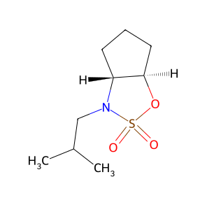 CC(C)CN1[C@@H]2CCC[C@H]2OS1(=O)=O